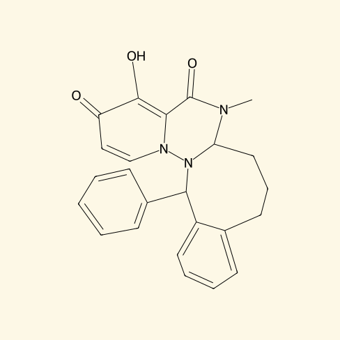 CN1C(=O)c2c(O)c(=O)ccn2N2C(c3ccccc3)c3ccccc3CCCC12